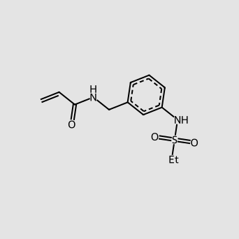 C=CC(=O)NCc1cccc(NS(=O)(=O)CC)c1